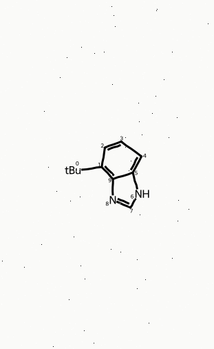 CC(C)(C)c1cccc2[nH]cnc12